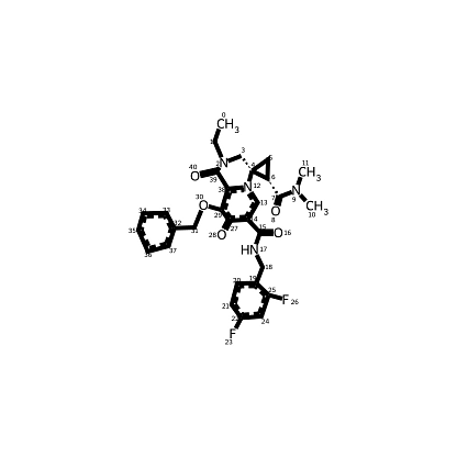 CCN1C[C@@]2(C[C@@H]2C(=O)N(C)C)n2cc(C(=O)NCc3ccc(F)cc3F)c(=O)c(OCc3ccccc3)c2C1=O